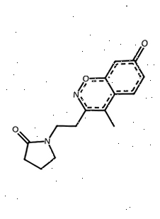 Cc1c2ccc(=O)cc-2onc1CCN1CCCC1=O